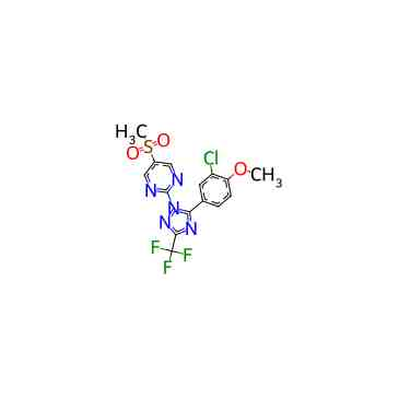 COc1ccc(-c2nc(C(F)(F)F)nn2-c2ncc(S(C)(=O)=O)cn2)cc1Cl